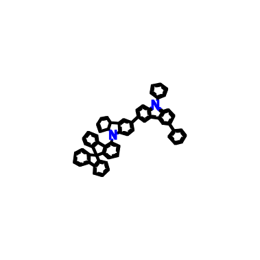 C1=CC2c3cc(-c4ccc5c(c4)c4cc(-c6ccccc6)ccc4n5-c4ccccc4)ccc3N(c3cccc4c3-c3ccccc3C43c4ccccc4-c4ccccc43)C2C=C1